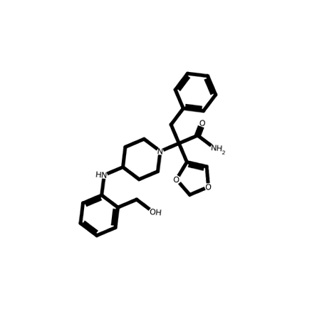 NC(=O)C(Cc1ccccc1)(C1=COCO1)N1CCC(Nc2ccccc2CO)CC1